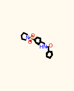 O=C(NCc1ccc(S(=O)(=O)N2CCCCC2)cc1)c1ccccc1